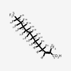 O=C(O)C(=C(F)C(F)(F)C(F)(F)C(F)(F)C(F)(F)C(F)(F)C(F)(F)C(F)(F)C(F)(F)C(F)(F)C(F)(F)F)C(F)(F)F